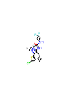 C[N+]1(C)N=C(c2ccc(Cl)s2)C(CC2CCC2)=C1NC(=O)NC1CC(F)(F)C1